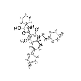 O=C(NC1(CO)CCCCC1)c1c(O)c2cc(-c3ccc(F)cc3)cnc2n(CCN2CCC(F)CC2)c1=O